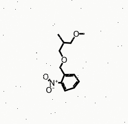 COCC(C)COCc1ccccc1[N+](=O)[O-]